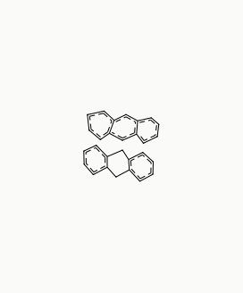 c1ccc2c(c1)Cc1ccccc1C2.c1ccc2cc3ccccc3cc2c1